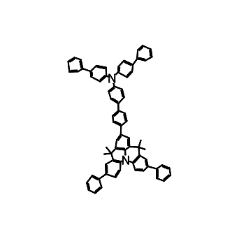 CC1(C)c2cc(-c3ccccc3)ccc2N2c3ccc(-c4ccccc4)cc3C(C)(C)c3cc(-c4ccc(-c5ccc(N(c6ccc(-c7ccccc7)cc6)c6ccc(-c7ccccc7)cc6)cc5)cc4)cc1c32